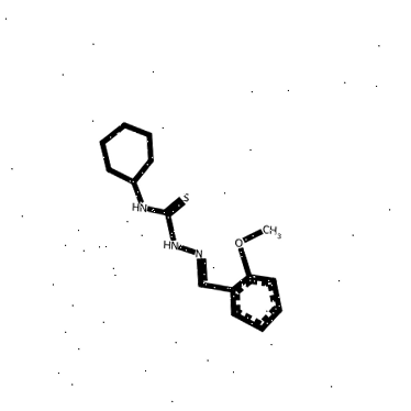 COc1ccccc1C=NNC(=S)NC1CCCCC1